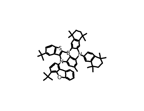 Cc1cc2c3c(c1)N(c1ccc(C(C)(C)C)c4oc5ccccc5c14)c1c(sc4ccc(C(C)(C)C)cc14)B3c1cc3c(cc1N2c1ccc2c(c1)C(C)(C)CCC2(C)C)C(C)(C)CCC3(C)C